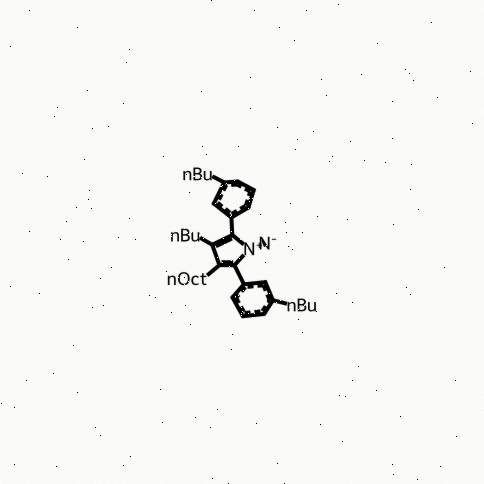 CCCCCCCCC1=C(c2cccc(CCCC)c2)[N+](=[N-])C(c2cccc(CCCC)c2)=C1CCCC